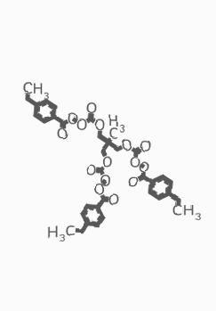 CCc1ccc(C(=O)OOC(=O)OCC(C)(COC(=O)OOC(=O)c2ccc(CC)cc2)COC(=O)OOC(=O)c2ccc(CC)cc2)cc1